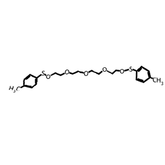 Cc1ccc(SOCCOCCOCCOCCOSc2ccc(C)cc2)cc1